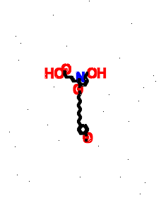 COc1ccc(CCCCCCCCOc2ccc(CO)nc2C=CCC(=O)O)cc1